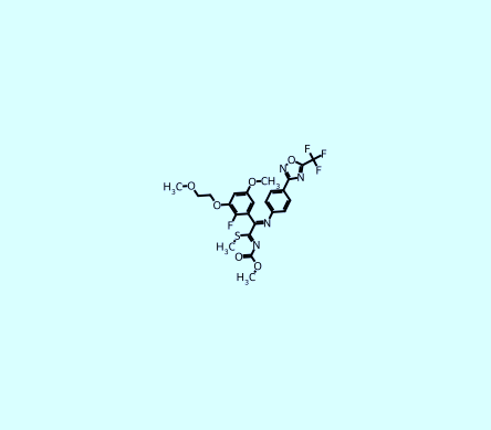 COCCOc1cc(OC)cc(C(=N\c2ccc(-c3noc(C(F)(F)F)n3)cc2)/C(=N/C(=O)OC)SC)c1F